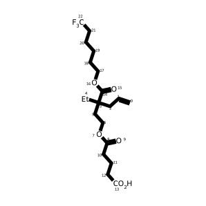 C=CCC(CC)(CCOC(=O)CCCC(=O)O)C(=O)OCCCCCC(F)(F)F